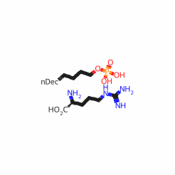 CCCCCCCCCCCCCCOP(=O)(O)O.N=C(N)NCCC[C@H](N)C(=O)O